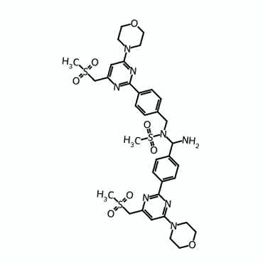 CS(=O)(=O)Cc1cc(N2CCOCC2)nc(-c2ccc(CN(C(N)c3ccc(-c4nc(CS(C)(=O)=O)cc(N5CCOCC5)n4)cc3)S(C)(=O)=O)cc2)n1